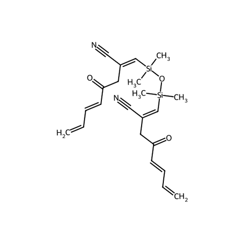 C=CC=CC(=O)CC(C#N)=C[Si](C)(C)O[Si](C)(C)C=C(C#N)CC(=O)C=CC=C